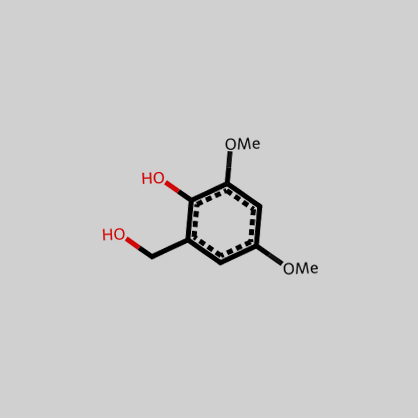 COc1cc(CO)c(O)c(OC)c1